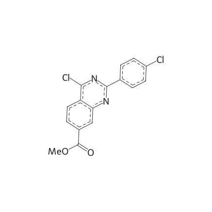 COC(=O)c1ccc2c(Cl)nc(-c3ccc(Cl)cc3)nc2c1